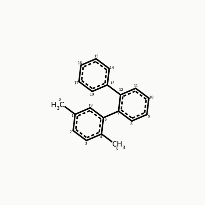 Cc1ccc(C)c(-c2ccccc2-c2ccccc2)c1